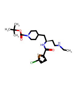 CCNCC[C@H](CC1CCN(C(=O)OC(C)(C)C)CC1)NC(=O)c1ccc(Cl)s1